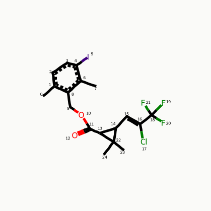 Cc1ccc(I)c(C)c1COC(=O)C1C(/C=C(\Cl)C(F)(F)F)C1(C)C